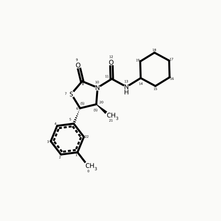 Cc1cccc([C@@H]2SC(=O)N(C(=O)NC3CCCCC3)[C@H]2C)c1